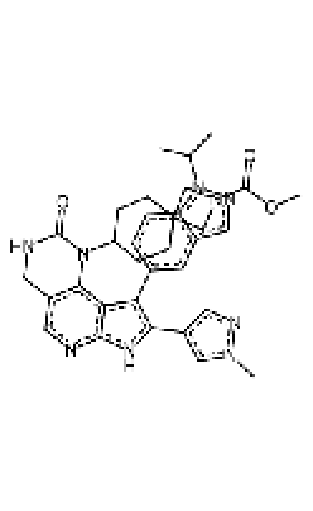 COC(=O)N1CC2(CCC(N3C(=O)NCc4cnc5[nH]c(-c6cnn(C)c6)c(-c6ccc7c(cnn7C(C)C)c6)c5c43)CC2)C1